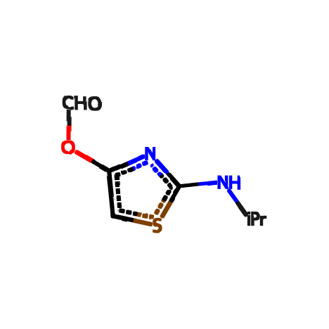 CC(C)Nc1nc(OC=O)cs1